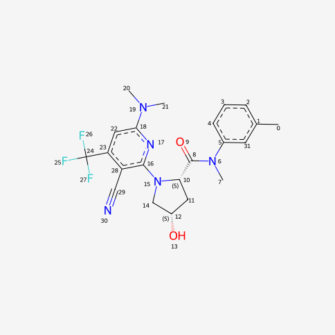 Cc1cccc(N(C)C(=O)[C@@H]2C[C@H](O)CN2c2nc(N(C)C)cc(C(F)(F)F)c2C#N)c1